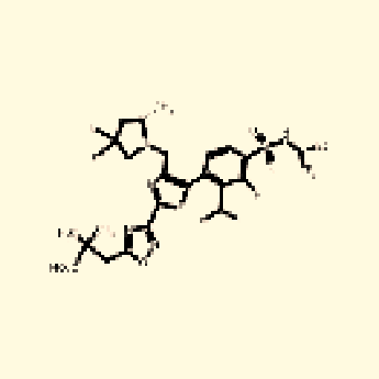 CC[C@H](NS(=O)(=O)c1ccc(-c2sc(-c3noc(CC(C)(C)C(=O)O)n3)nc2CN2CC(F)(F)C[C@@H]2C)c(C(F)F)c1F)C(F)(F)F